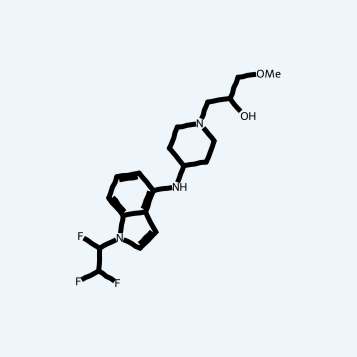 COCC(O)CN1CCC(Nc2cccc3c2ccn3C(F)C(F)F)CC1